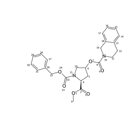 COC(=O)[C@@H]1CC(OC(=O)N2CCc3ccccc3C2)CN1C(=O)OCc1ccccc1